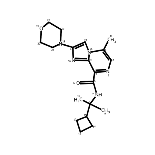 Cc1cnc(C(=O)NC(C)(C)C2CCC2)c2nc(N3CCOCC3)cn12